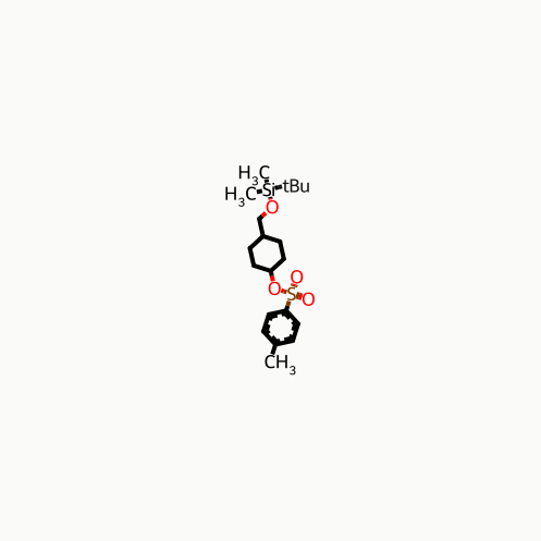 Cc1ccc(S(=O)(=O)OC2CCC(CO[Si](C)(C)C(C)(C)C)CC2)cc1